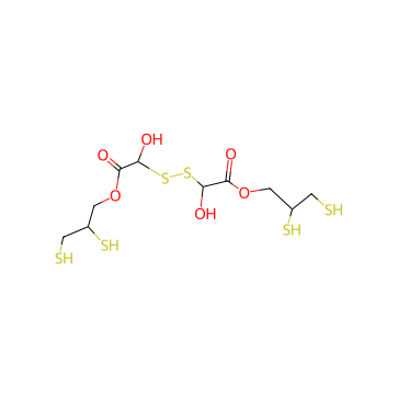 O=C(OCC(S)CS)C(O)SSC(O)C(=O)OCC(S)CS